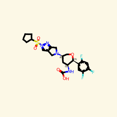 O=C(O)N[C@H]1C[C@@H](N2Cc3cn(S(=O)(=O)C4CCCC4)nc3C2)CO[C@H]1c1cc(F)c(F)cc1F